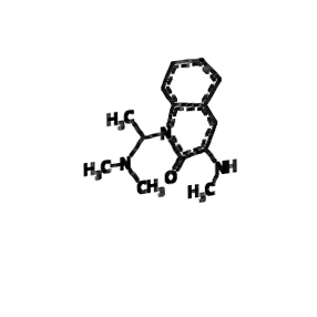 CNc1cc2ccccc2n(C(C)N(C)C)c1=O